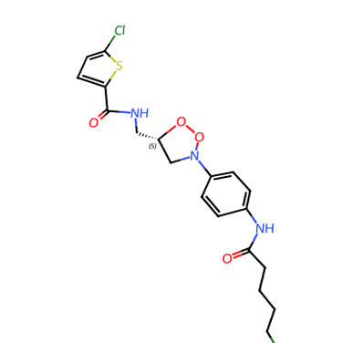 O=C(CCCCCl)Nc1ccc(N2C[C@H](CNC(=O)c3ccc(Cl)s3)OO2)cc1